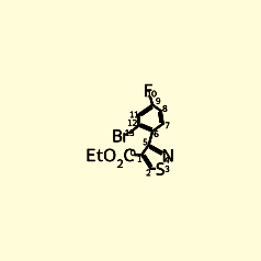 CCOC(=O)c1csnc1-c1ccc(F)cc1Br